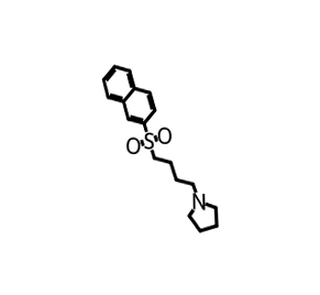 O=S(=O)(CCCCN1CCCC1)c1ccc2ccccc2c1